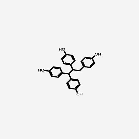 Oc1ccc(CC(c2ccc(O)cc2)C(c2ccc(O)cc2)c2ccc(O)cc2)cc1